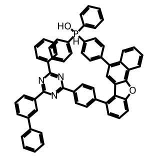 O[PH](c1ccccc1)(c1ccccc1)c1ccc(-c2cc3c(oc4cccc(-c5ccc(-c6nc(-c7ccccc7)nc(-c7cccc(-c8ccccc8)c7)n6)cc5)c43)c3ccccc23)cc1